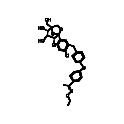 CCON=C(C)c1ccc(Oc2ccc(Cc3cc([C@]45OC[C@](CO)(O4)[C@@H](O)[C@H](O)[C@H]5O)ccc3Cl)cc2)cc1